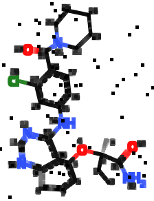 CC[C@@](C)(Oc1cccc2ncnc(Nc3ccc(C(=O)N4CCCCC4)c(Cl)c3)c12)C(N)=O